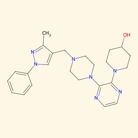 Cc1nn(-c2ccccc2)cc1CN1CCN(c2nccnc2N2CCC(O)CC2)CC1